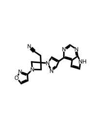 N#CCC1(n2cc(-c3ncnc4[nH]ccc34)cn2)CN(c2ccon2)C1